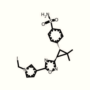 CC1(C)[C@@H](c2ccc(S(N)(=O)=O)cc2)[C@@H]1c1noc(-c2ccn(CI)c2)n1